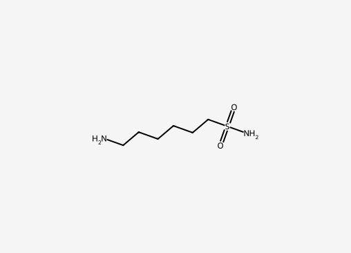 NCCCCCCS(N)(=O)=O